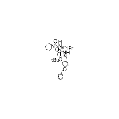 CC(C)C[C@H](NC(=O)C(=O)N1CCCCCC1)C(=O)N[C@@H](Cc1ccc(OCc2ccccc2)cc1)C(=O)OC(C)(C)C